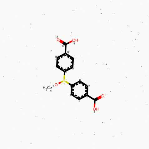 O=C(O)c1ccc([S+]([O-])c2ccc(C(=O)O)cc2)cc1.[CaH2]